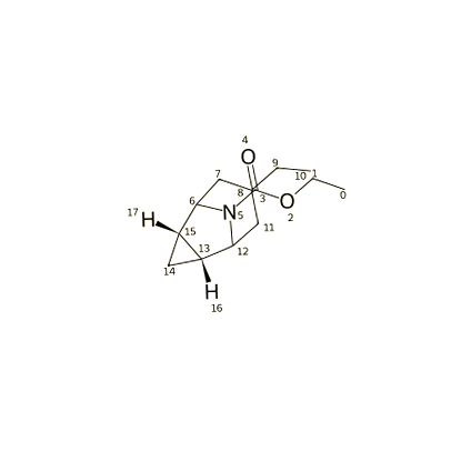 CCOC(=O)N1C2CC(CC)CC1[C@@H]1C[C@H]21